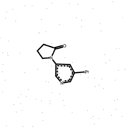 CC(C)c1cncc(N2CCCC2=O)c1